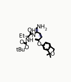 C=C(/C=C\C(=C/N)NC(=O)[C@@H](CC)NC(=O)OC(C)(C)C)Oc1ccc2c(c1)C(C)(C)OC2